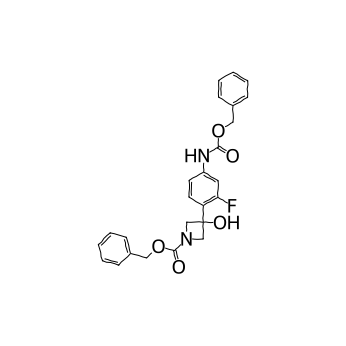 O=C(Nc1ccc(C2(O)CN(C(=O)OCc3ccccc3)C2)c(F)c1)OCc1ccccc1